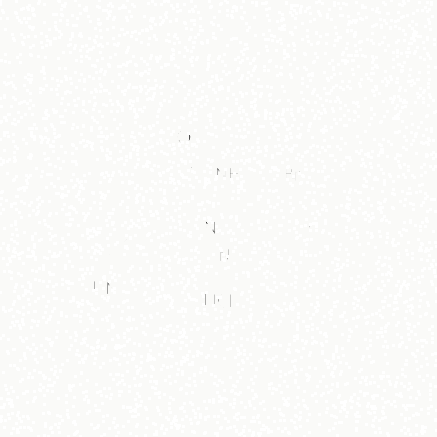 Cc1ccc2nn3c(C4CCNCC4)cc(=O)[nH]c3c2c1Br.Cl